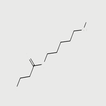 CCCC(=O)OCCCCCNC